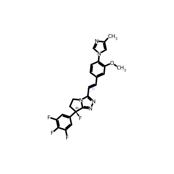 COc1cc(/C=C/c2nnc3n2CC[C@@]3(F)c2cc(F)c(F)c(F)c2)ccc1-n1cnc(C)c1